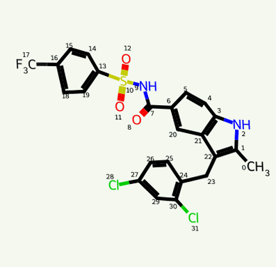 Cc1[nH]c2ccc(C(=O)NS(=O)(=O)c3ccc(C(F)(F)F)cc3)cc2c1Cc1ccc(Cl)cc1Cl